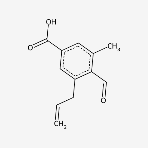 C=CCc1cc(C(=O)O)cc(C)c1C=O